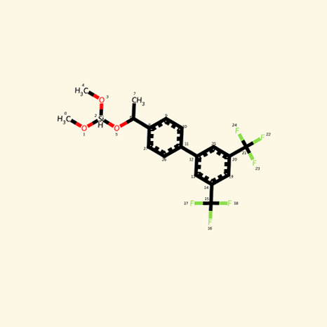 CO[SiH](OC)OC(C)c1ccc(-c2cc(C(F)(F)F)cc(C(F)(F)F)c2)cc1